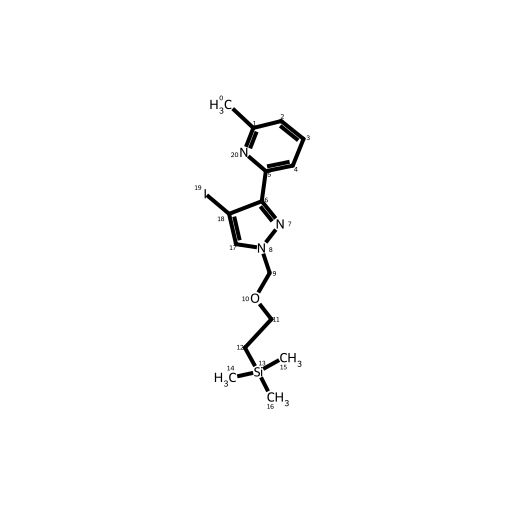 Cc1cccc(-c2nn(COCC[Si](C)(C)C)cc2I)n1